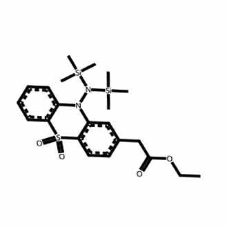 CCOC(=O)Cc1ccc2c(c1)N(N([Si](C)(C)C)[Si](C)(C)C)c1ccccc1S2(=O)=O